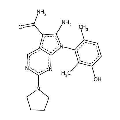 Cc1ccc(O)c(C)c1-n1c(N)c(C(N)=O)c2cnc(N3CCCC3)nc21